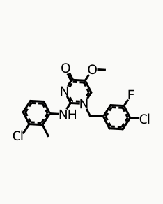 COc1cn(Cc2ccc(Cl)c(F)c2)c(Nc2cccc(Cl)c2C)nc1=O